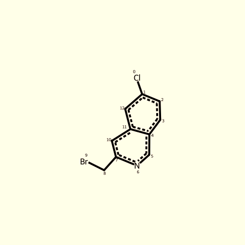 Clc1ccc2cnc(CBr)cc2c1